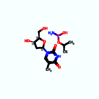 CC(C#N)OP(N)O.Cc1cn([C@H]2C[C@H](O)[C@@H](CO)O2)c(=O)[nH]c1=O